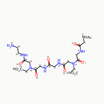 CC(=O)NCC(=O)NCC(=O)N(CC(=O)O)CC(=O)NCC(=O)NCC(=O)N(CC(=O)O)CC(=O)NCCN